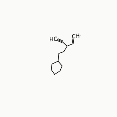 [CH]=CC(C#C)CCC1CCCCC1